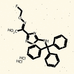 Cl.Cl.O=C(O)C(=NOCF)c1nsc(NC(c2ccccc2)(c2ccccc2)c2ccccc2)n1